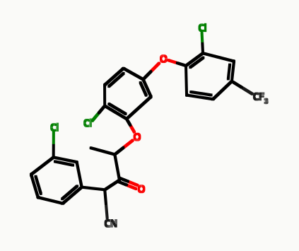 CC(Oc1cc(Oc2ccc(C(F)(F)F)cc2Cl)ccc1Cl)C(=O)C(C#N)c1cccc(Cl)c1